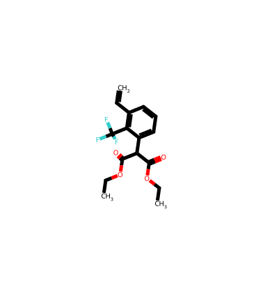 C=Cc1cccc(C(C(=O)OCC)C(=O)OCC)c1C(F)(F)F